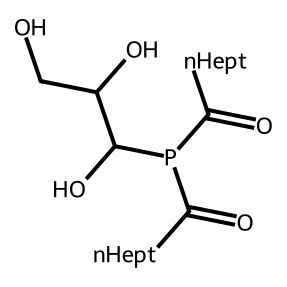 CCCCCCCC(=O)P(C(=O)CCCCCCC)C(O)C(O)CO